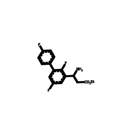 CCOC(=O)CC(N)c1cc(F)cc(-c2ccc(F)cc2)c1F